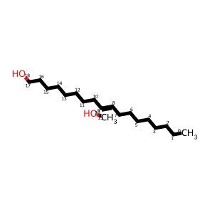 CCCCCCCCC=CCCCCCCCCO.CO